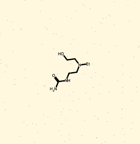 CCN(CCO)CCNC(N)=O